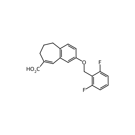 O=C(O)C1=Cc2cc(OCc3c(F)cccc3F)ccc2CCC1